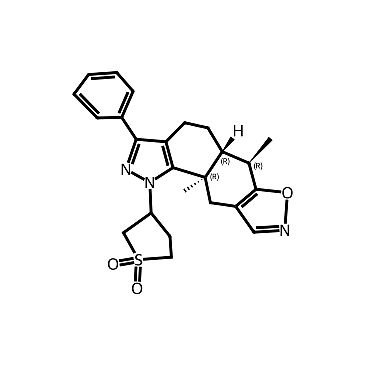 C[C@H]1c2oncc2C[C@@]2(C)c3c(c(-c4ccccc4)nn3C3CCS(=O)(=O)C3)CC[C@H]12